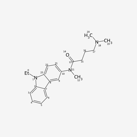 CCn1c2ccccc2c2cc(N(C)C(=O)CCCN(C)C)ccc21